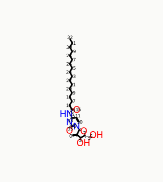 C=C1C(O)[C@@H](CO)O[C@H]1n1ccc(NC(=O)CCCCCCCCCCCCCCCCC)nc1=O